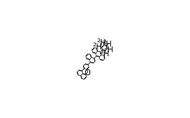 [2H]c1c([2H])c([2H])c(-c2c3ccccc3c(-c3ccc(-c4ccc5c(c4)Oc4cccc6cccc-5c46)c4ccccc34)c3ccccc23)c([2H])c1[2H]